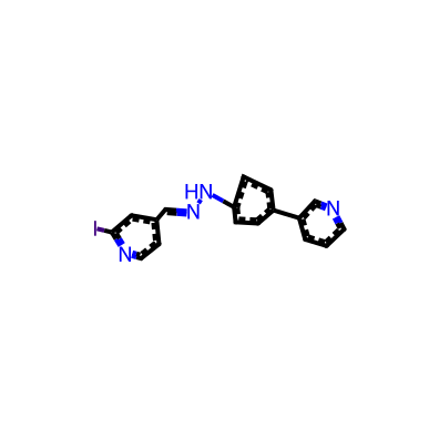 Ic1cc(C=NNc2ccc(-c3cccnc3)cc2)ccn1